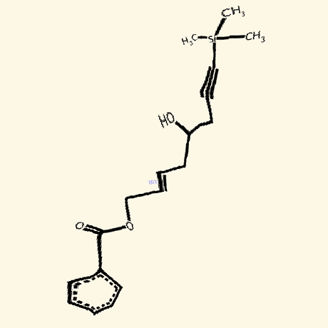 C[Si](C)(C)C#CCC(O)C/C=C/COC(=O)c1ccccc1